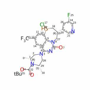 C[C@@H]1CN(c2nc(=O)n3c4c(cc(C(F)(F)F)cc24)[SH](Cl)C[C@H](c2cncc(F)c2)C3)C[C@H](C)N1C(=O)OC(C)(C)C